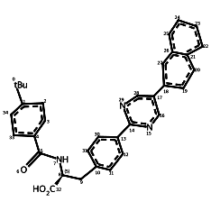 CC(C)(C)c1ccc(C(=O)N[C@@H](Cc2ccc(-c3ncc(-c4ccc5ccccc5c4)cn3)cc2)C(=O)O)cc1